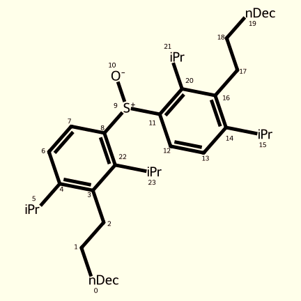 CCCCCCCCCCCCc1c(C(C)C)ccc([S+]([O-])c2ccc(C(C)C)c(CCCCCCCCCCCC)c2C(C)C)c1C(C)C